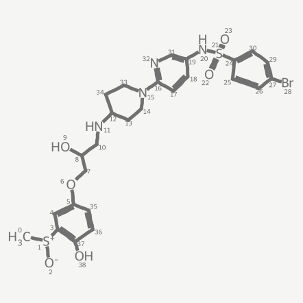 C[S+]([O-])c1cc(OCC(O)CNC2CCN(c3ccc(NS(=O)(=O)c4ccc(Br)cc4)cn3)CC2)ccc1O